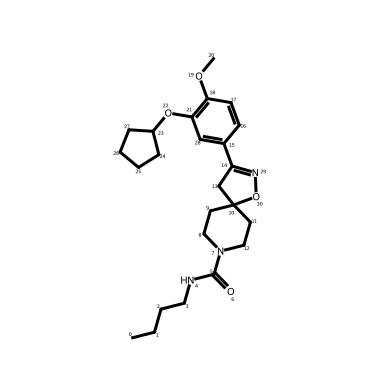 CCCCNC(=O)N1CCC2(CC1)CC(c1ccc(OC)c(OC3CCCC3)c1)=NO2